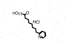 CCCCCCCCC(=O)CCCCCCCc1ccccn1.Cl